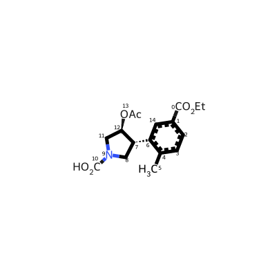 CCOC(=O)c1ccc(C)c([C@@H]2CN(C(=O)O)C[C@H]2OC(C)=O)c1